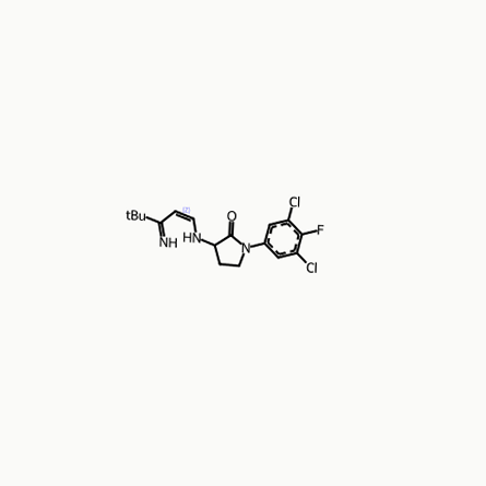 CC(C)(C)C(=N)/C=C\NC1CCN(c2cc(Cl)c(F)c(Cl)c2)C1=O